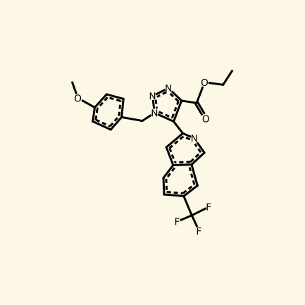 CCOC(=O)c1nnn(Cc2ccc(OC)cc2)c1-c1cc2ccc(C(F)(F)F)cc2cn1